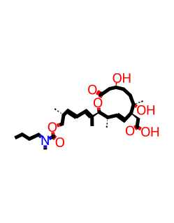 CCCCN(C)C(=O)OC[C@H](C)/C=C/C=C(\C)[C@H]1OC(=O)C[C@H](O)CC[C@@](C)(O)[C@@H](CC(=O)O)/C=C/[C@@H]1C